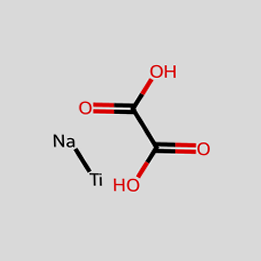 O=C(O)C(=O)O.[Na][Ti]